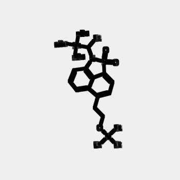 CCC[CH2][Sn]([CH2]CCC)([CH2]CCC)[CH](CC)N1c2cccc3c(CCO[Si](CC)(CC)CC)ccc(c23)S1(=O)=O